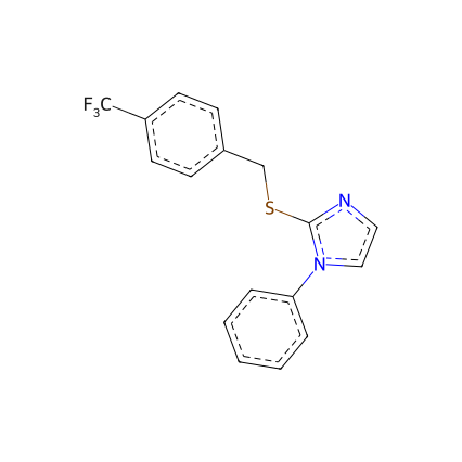 FC(F)(F)c1ccc(CSc2nccn2-c2ccccc2)cc1